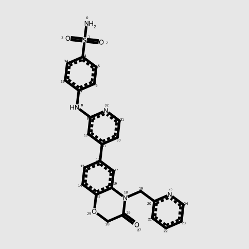 NS(=O)(=O)c1ccc(Nc2cc(-c3ccc4c(c3)N(Cc3ccccn3)C(=O)CO4)ccn2)cc1